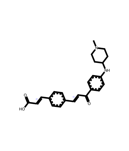 CN1CCC(Nc2ccc(C(=O)/C=C/c3ccc(/C=C/C(=O)O)cc3)cc2)CC1